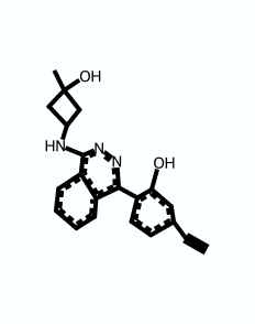 C#Cc1ccc(-c2nnc(NC3CC(C)(O)C3)c3ccccc23)c(O)c1